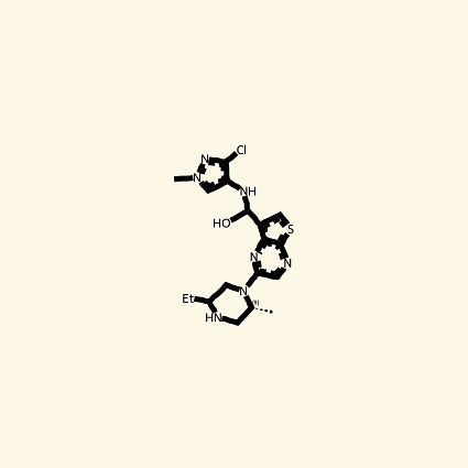 CCC1CN(c2cnc3scc(C(O)Nc4cn(C)nc4Cl)c3n2)[C@H](C)CN1